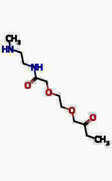 CCC(=O)COCCOCC(=O)NCCNC